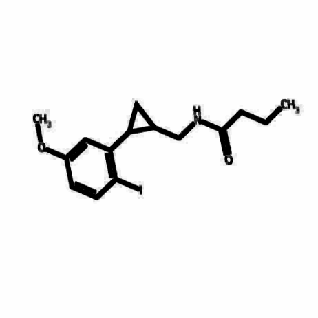 CCCC(=O)NCC1CC1c1cc(OC)ccc1I